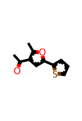 CC(=O)c1cc(-c2cccs2)oc1C